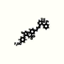 CC(C)c1ccccc1N1/C(=N/N=C/c2ccc3c(c2)S(=O)(=O)Cc2c-3nn(C)c2-c2ccc(OC(F)(F)F)cc2)SCC1(C)O